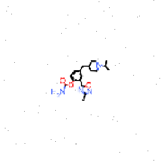 Cc1noc(-c2cc(CC3CCN(C(C)C)CC3)ccc2OC(N)=O)n1